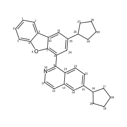 c1ccc2c(c1)oc1c(-c3nccc4cc(C5CCCC5)ccc34)cc(C3CCCC3)cc12